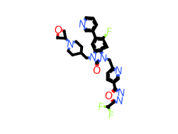 O=c1n(Cc2ccc(-c3nnc(C(F)F)o3)cn2)c2cc(F)c(-c3cccnc3)cc2n1CC1CCN(C2COC2)CC1